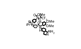 COC(=O)N(OC(=O)C(F)(F)F)c1ccc(S(=O)(=O)C(C)C)c([C@H]2CCCN2C(=O)[C@@H](Nc2ccc3c(N)nccc3c2)c2cc(OC)c(OC)cc2F)c1